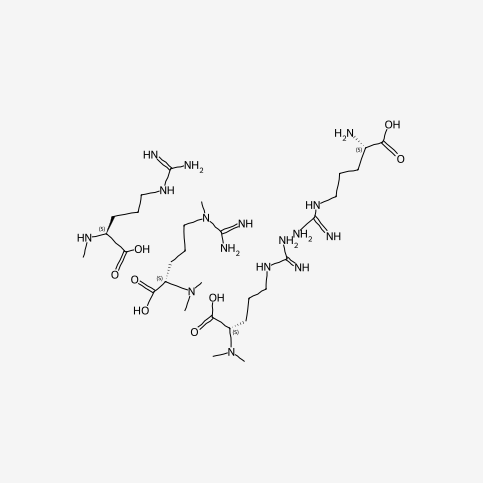 CN(C)[C@@H](CCCNC(=N)N)C(=O)O.CN(CCC[C@@H](C(=O)O)N(C)C)C(=N)N.CN[C@@H](CCCNC(=N)N)C(=O)O.N=C(N)NCCC[C@H](N)C(=O)O